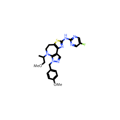 COCC(C)N1CCc2sc(Nc3ncc(F)cn3)nc2-c2cnn(Cc3ccc(OC)cc3)c21